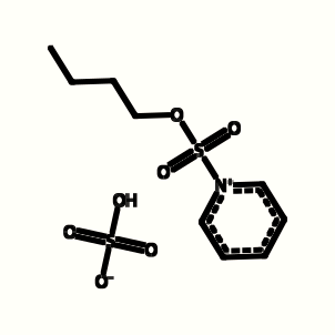 CCCCOS(=O)(=O)[n+]1ccccc1.O=S(=O)([O-])O